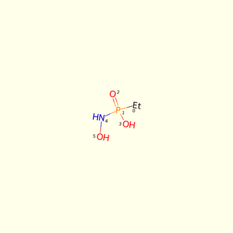 CCP(=O)(O)NO